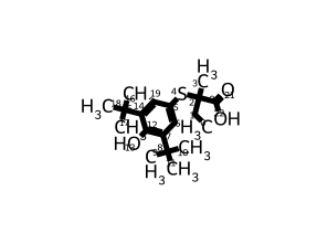 CCC(C)(Sc1cc(C(C)(C)C)c(O)c(C(C)(C)C)c1)C(=O)O